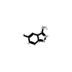 CC1=CC2C(N)=NN=C2C=C1